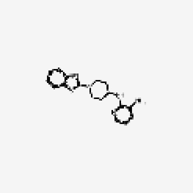 Nc1cccnc1NC1CCN(c2nc3ccccc3s2)CC1